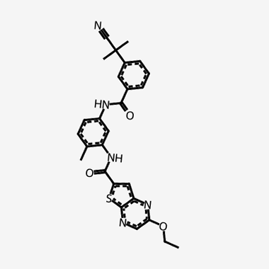 CCOc1cnc2sc(C(=O)Nc3cc(NC(=O)c4cccc(C(C)(C)C#N)c4)ccc3C)cc2n1